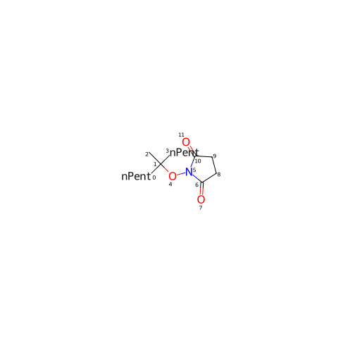 CCCCCC(C)(CCCCC)ON1C(=O)CCC1=O